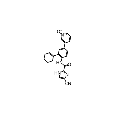 N#Cc1c[nH]c(C(=O)Nc2ccc(-c3ccc[n+]([O-])c3)cc2C2=CCCCC2)n1